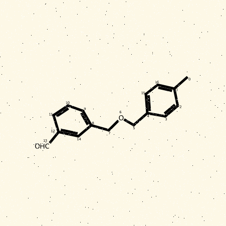 Cc1ccc(COCc2cccc(C=O)c2)cc1